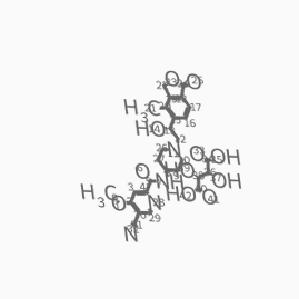 COc1cc(C(=O)NC2CCN(C[C@H](O)c3ccc4c(c3C)COC4=O)CC2)ncc1C#N.O=C(O)[C@H](O)[C@@H](O)C(=O)O